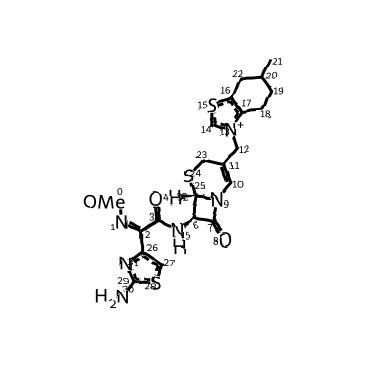 CO/N=C(\C(=O)N[C@@H]1C(=O)N2C=C(C[n+]3csc4c3CCC(C)C4)CS[C@@H]12)c1csc(N)n1